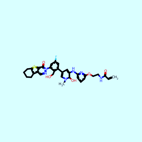 C=CC(=O)NCCOc1cccc(NC2=CC(c3cc(F)cc(-n4ncc5c6c(sc5c4=O)CCCC6)c3CO)=CN(C)C2O)n1